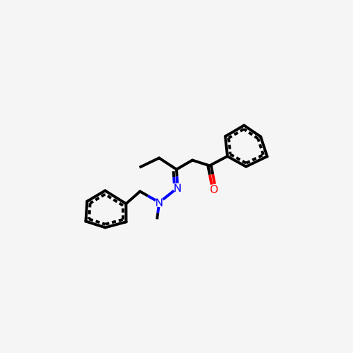 CCC(CC(=O)c1ccccc1)=NN(C)Cc1ccccc1